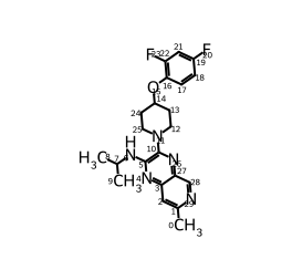 Cc1cc2nc(NC(C)C)c(N3CCC(Oc4ccc(F)cc4F)CC3)nc2cn1